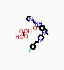 Cc1cc2ccc(C(=O)NCCN3CCCC3)cc2n1C1CCN(CCc2ccc(F)cc2)CC1.O=C(O)C(=O)O